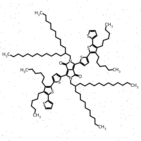 CCCCCCCCCCCCC(CCCCCCCCCC)CN1C(=O)C2=C(c3ccc(-c4sc(-c5cccs5)c(CCCCCC)c4CCCCCC)s3)N(CC(CCCCCCCCCC)CCCCCCCCCCCC)C(=O)C2=C1c1ccc(-c2sc(-c3cccs3)c(CCCCCC)c2CCCCCC)s1